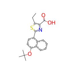 CCc1sc(-c2ccc(OC(C)(C)C)c3ccccc23)nc1C(=O)O